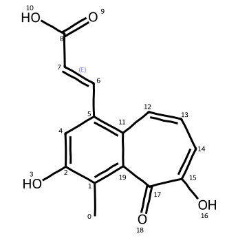 Cc1c(O)cc(/C=C/C(=O)O)c2cccc(O)c(=O)c12